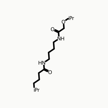 CC(C)CCCC(=O)NCCCCNC(=O)COC(C)C